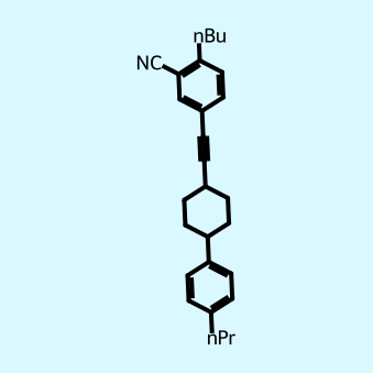 CCCCc1ccc(C#CC2CCC(c3ccc(CCC)cc3)CC2)cc1C#N